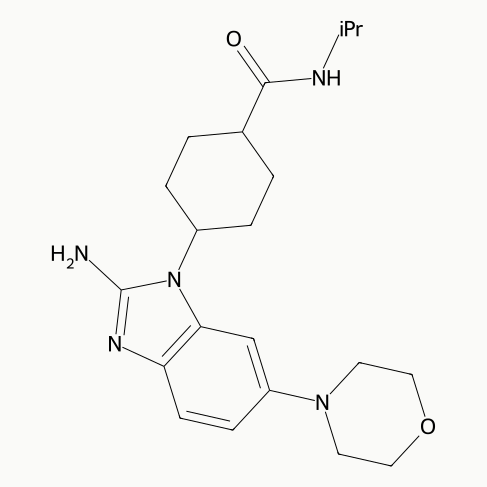 CC(C)NC(=O)C1CCC(n2c(N)nc3ccc(N4CCOCC4)cc32)CC1